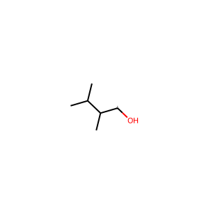 CC(C)C(C)[CH]O